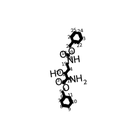 NC(C(=O)OCc1ccccc1)C(O)CCNC(=O)OCc1ccccc1